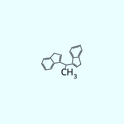 CC(C1=CCc2ccccc21)C1=CCc2ccccc21